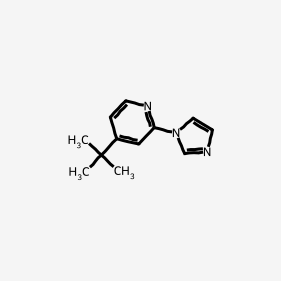 CC(C)(C)c1ccnc(-n2ccnc2)c1